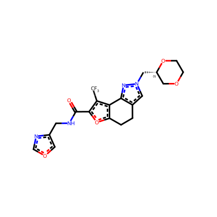 O=C(NCc1cocn1)c1oc2c(c1C(F)(F)F)-c1nn(C[C@H]3COCCO3)cc1CC2